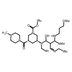 CNC(NCCCOC)C(/C=N\CC(C)(C)C)C(O)N(CC(C)C)[C@H]1C[C@@H](C(=O)N2CCN(C)CC2)CN(C(=O)OC(C)(C)C)C1